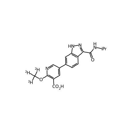 [2H]C([2H])([2H])Oc1ncc(-c2ccc3c(C(=O)NC(C)C)n[nH]c3c2)cc1C(=O)O